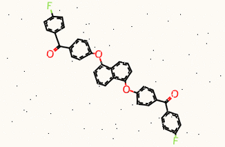 O=C(c1ccc(F)cc1)c1ccc(Oc2cccc3c(Oc4ccc(C(=O)c5ccc(F)cc5)cc4)cccc23)cc1